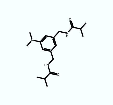 CC(C)C(=O)NCc1cc(CNC(=O)C(C)C)cc(N(C)C)c1